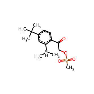 C[SiH](C)c1cc(C(C)(C)C)ccc1C(=O)COS(C)(=O)=O